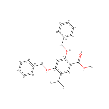 COC(=O)c1cc(C(C)C)c(OCc2ccccc2)cc1OCc1ccccc1